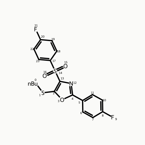 CCCCSc1oc(-c2ccc(F)cc2)nc1S(=O)(=O)c1ccc(F)cc1